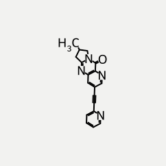 CC1Cc2nc3cc(C#Cc4ccccn4)cnc3c(=O)n2C1